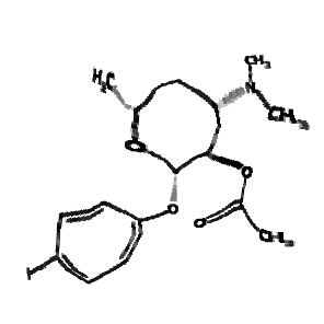 CC(=O)O[C@H]1[C@H](Oc2ccc(I)cc2)O[C@H](C)C[C@@H]1N(C)C